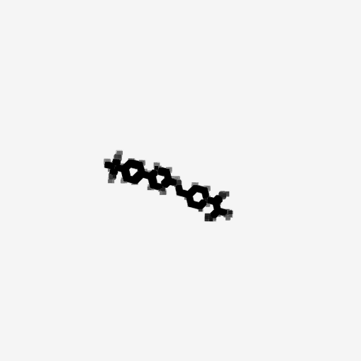 CCC(CC)C(=O)N1CCC(COc2cnc(-c3ccc(S(C)(=O)=O)cc3)cn2)CC1